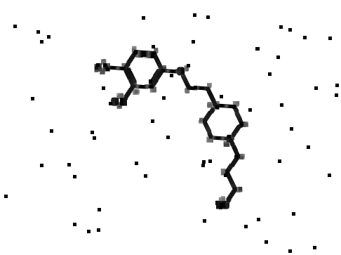 Nc1ccc(OCCN2CCN(CCCO)CC2)cc1[N+](=O)[O-]